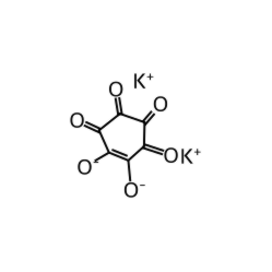 O=c1c([O-])c([O-])c(=O)c(=O)c1=O.[K+].[K+]